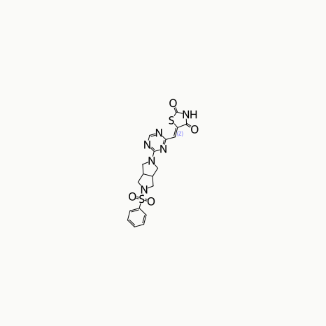 O=C1NC(=O)/C(=C/c2ncnc(N3CC4CN(S(=O)(=O)c5ccccc5)CC4C3)n2)S1